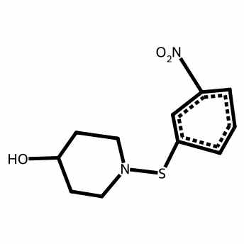 O=[N+]([O-])c1cccc(SN2CCC(O)CC2)c1